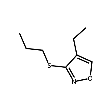 CCCSc1nocc1CC